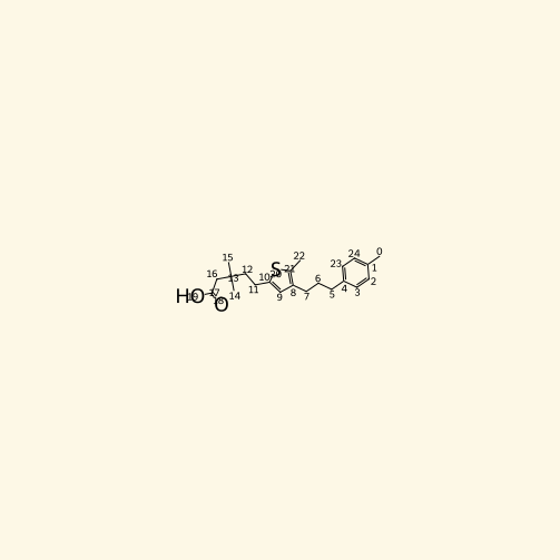 Cc1ccc(CCCc2cc(CCC(C)(C)CC(=O)O)sc2C)cc1